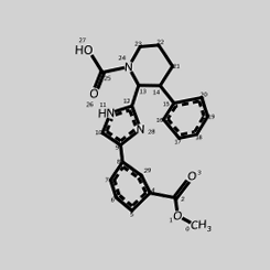 COC(=O)c1cccc(-c2c[nH]c(C3C(c4ccccc4)CCCN3C(=O)O)n2)c1